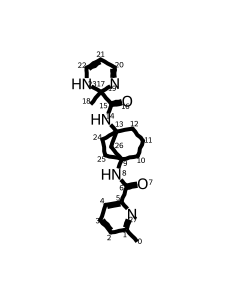 Cc1cccc(C(=O)NC23CCCC(NC(=O)C4(C)N=CC=CN4)(CC2)C3)n1